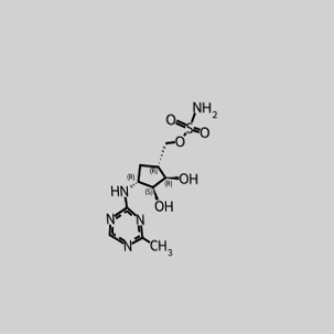 Cc1ncnc(N[C@@H]2C[C@H](COS(N)(=O)=O)[C@@H](O)[C@H]2O)n1